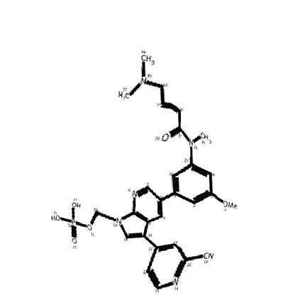 COc1cc(-c2cnc3c(c2)c(-c2ccnc(C#N)c2)cn3COP(=O)(O)O)cc(N(C)C(=O)C=CCN(C)C)c1